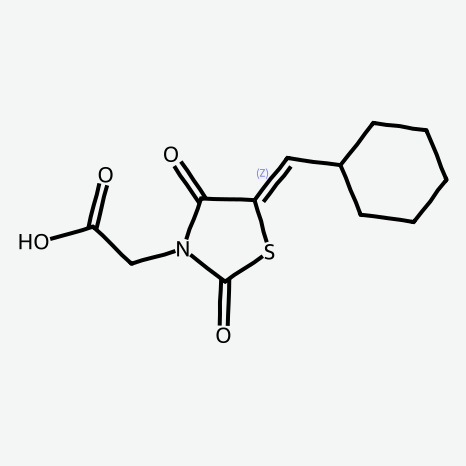 O=C(O)CN1C(=O)S/C(=C\C2CCCCC2)C1=O